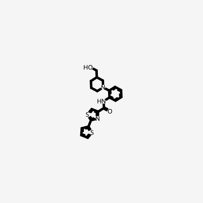 O=C(Nc1ccccc1N1CCCC(CO)C1)c1csc(-c2cccs2)n1